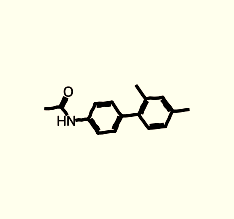 CC(=O)Nc1ccc(-c2ccc(C)cc2C)cc1